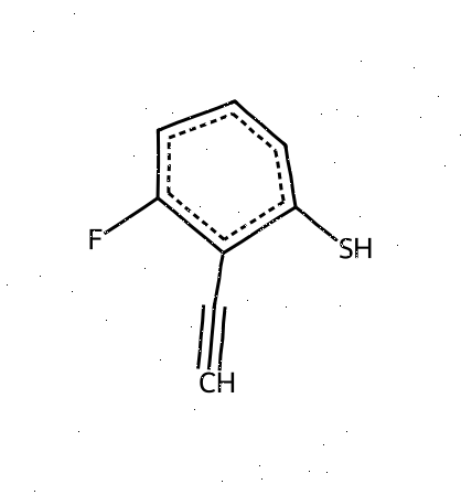 C#Cc1c(F)cccc1S